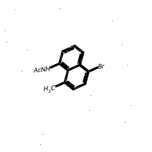 CC(=O)Nc1cccc2c(Br)ccc(C)c12